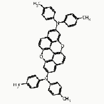 Cc1ccc(N(c2ccc(C)cc2)c2cc3ccc4oc5cc(N(c6ccc(C)cc6)c6ccc(C)cc6)cc6ccc7oc(c2)c3c4-c7c65)cc1